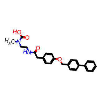 CN(CCNC(=O)Cc1ccc(OCc2ccc(-c3ccccc3)cc2)cc1)C(=O)O